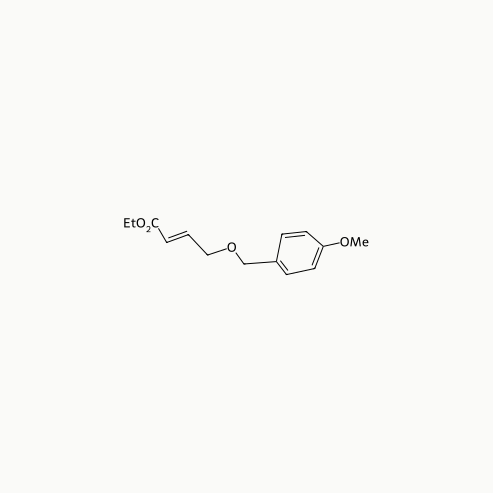 CCOC(=O)C=CCOCc1ccc(OC)cc1